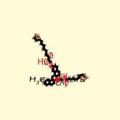 CCOc1ccc2ccc(OCC(O)C(=O)CCCCCCC3CCSS3)cc2c1Cc1c(OCC(O)COC(=O)CCCCC2CCSS2)ccc2ccc(C)cc12